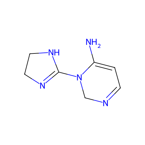 NC1=CC=NCN1C1=NCCN1